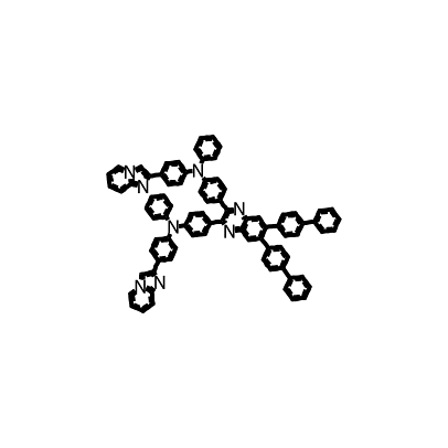 c1ccc(-c2ccc(-c3cc4nc(-c5ccc(N(c6ccccc6)c6ccc(-c7cn8ccccc8n7)cc6)cc5)c(-c5ccc(N(c6ccccc6)c6ccc(-c7cn8ccccc8n7)cc6)cc5)nc4cc3-c3ccc(-c4ccccc4)cc3)cc2)cc1